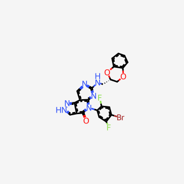 O=c1c2c[nH]nc2c2cnc(NC[C@H]3COc4ccccc4O3)nc2n1-c1cc(F)c(Br)cc1F